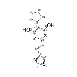 Oc1cc(/C=C/c2cscn2)cc(O)c1C1CCCC1